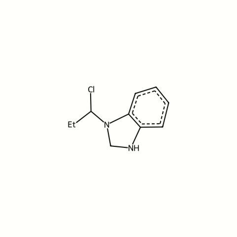 CCC(Cl)N1CNc2ccccc21